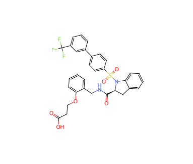 O=C(O)CCOc1ccccc1CNC(=O)[C@@H]1Cc2ccccc2N1S(=O)(=O)c1ccc(-c2cccc(C(F)(F)F)c2)cc1